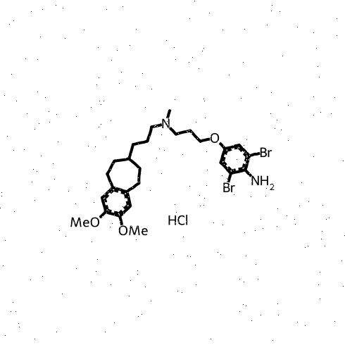 COc1cc2c(cc1OC)CCC(CCCN(C)CCCOc1cc(Br)c(N)c(Br)c1)CC2.Cl